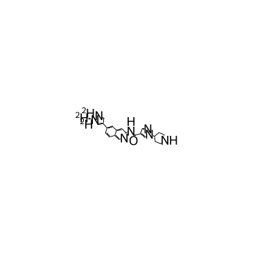 [2H]C([2H])([2H])n1cc(-c2ccc3cnc(NC(=O)c4cnn(C5CCNCC5)c4)cc3c2)cn1